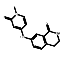 Cn1ccc(Nc2ccc3c(c2)C(=O)NCC3)cc1=O